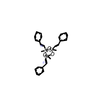 C[Si]1(C=Cc2ccccc2)O[Si](C)(/C=C/c2ccccc2)O[Si](C)(/C=C/c2ccccc2)O1